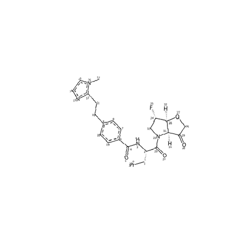 CC(C)C[C@H](NC(=O)c1ccc(CCc2nccn2C)cc1)C(=O)N1C[C@H](F)[C@H]2OCC(=O)[C@H]21